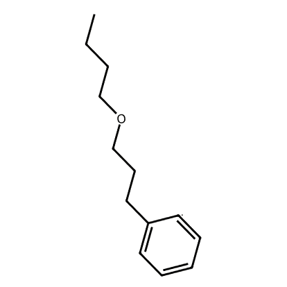 CCCCOCCCc1[c]cccc1